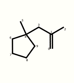 C=C(C)CC1(C)CCCC1